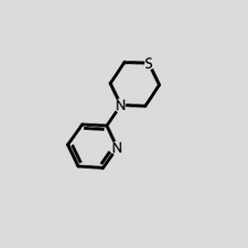 c1ccc(N2CCSCC2)nc1